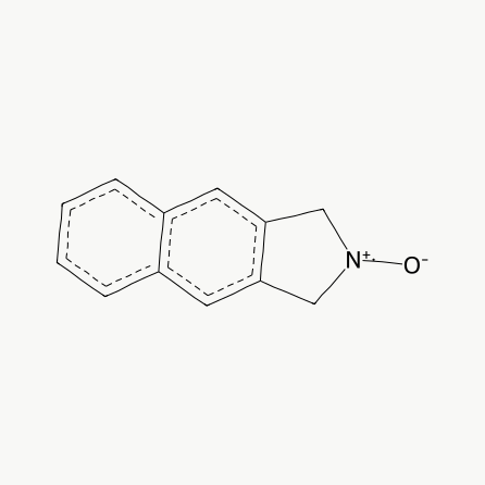 [O-][N+]1Cc2cc3ccccc3cc2C1